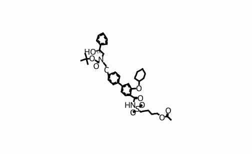 CC(=O)OCCCCS(=O)(=O)NC(=O)c1ccc(-c2ccc(CCN(C[C@@H](O)c3ccccc3)C(=O)OC(C)(C)C)cc2)cc1OC1CCCCC1